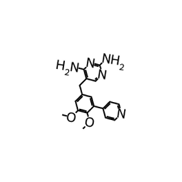 COc1cc(Cc2cnc(N)nc2N)cc(-c2ccncc2)c1OC